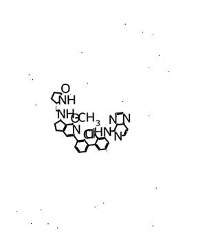 COc1nc(-c2cccc(-c3cccc(Nc4nccc5nccnc45)c3Cl)c2Cl)cc2c1[C@@H](NC[C@@H]1CCC(=O)N1)CC2